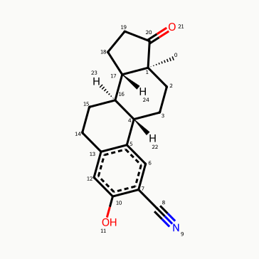 C[C@]12CC[C@@H]3c4cc(C#N)c(O)cc4CC[C@H]3[C@@H]1CCC2=O